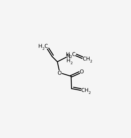 C=C.C=CC(=O)OC(N)C=C